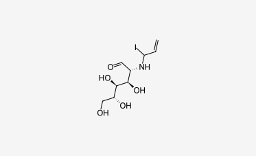 C=CC(I)N[C@@H](C=O)[C@@H](O)[C@H](O)[C@H](O)CO